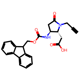 C#CCN1C(=O)C[C@H](NC(=O)OCC2c3ccccc3-c3ccccc32)[C@H]1CC(=O)O